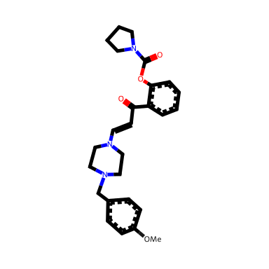 COc1ccc(CN2CCN(C=CC(=O)c3ccccc3OC(=O)N3CCCC3)CC2)cc1